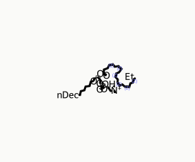 CC/C=C\C/C=C\C/C=C\C/C=C\C/C=C\C/C=C\CCC(=O)O[C@H](COCCCCCCCCCCCCCCCC)COP(=O)(O)OCC[N+](C)(C)C